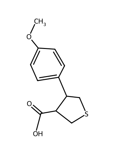 COc1ccc(C2CSCC2C(=O)O)cc1